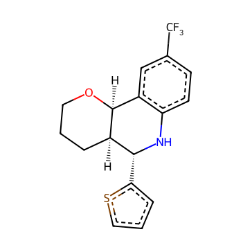 FC(F)(F)c1ccc2c(c1)[C@@H]1OCCC[C@@H]1[C@@H](c1cccs1)N2